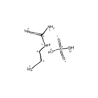 N=C(N)NCCS.O=S(=O)(O)O